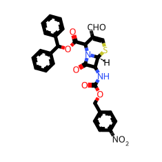 O=CC1=CS[C@H]2C(NC(=O)OCc3ccc([N+](=O)[O-])cc3)C(=O)N2C1C(=O)OC(c1ccccc1)c1ccccc1